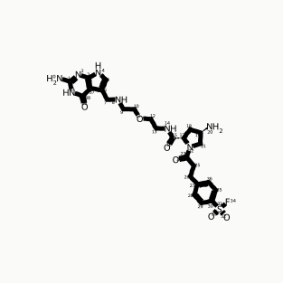 Nc1nc2[nH]cc(CNCCOCCNC(=O)[C@@H]3C[C@H](N)CN3C(=O)CCc3ccc(S(=O)(=O)F)cc3)c2c(=O)[nH]1